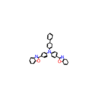 c1c(-c2nc3ccccc3o2)ccc(N(C2=CCC(c3ccccc3)C=C2)c2ccc(-c3nc4c(o3)C=CCC4)cc2)c#1